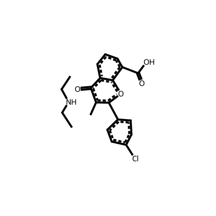 CCNCC.Cc1c(-c2ccc(Cl)cc2)oc2c(C(=O)O)cccc2c1=O